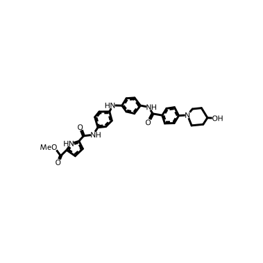 COC(=O)c1ccc(C(=O)Nc2ccc(Nc3ccc(NC(=O)c4ccc(N5CCC(O)CC5)cc4)cc3)cc2)[nH]1